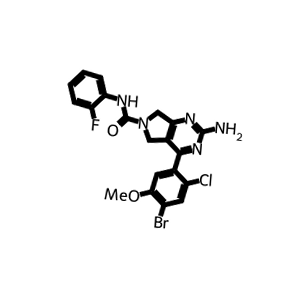 COc1cc(-c2nc(N)nc3c2CN(C(=O)Nc2ccccc2F)C3)c(Cl)cc1Br